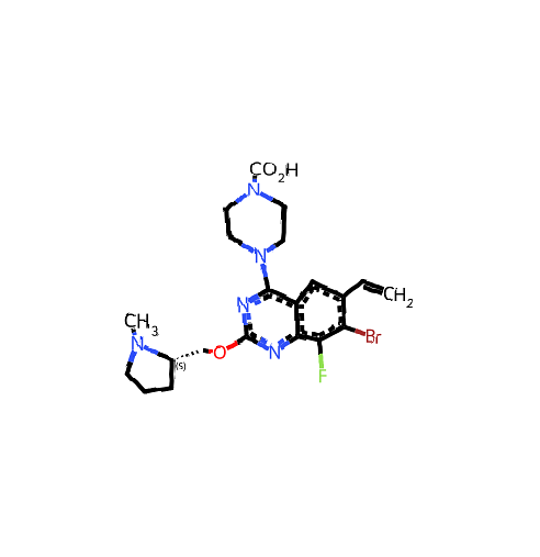 C=Cc1cc2c(N3CCN(C(=O)O)CC3)nc(OC[C@@H]3CCCN3C)nc2c(F)c1Br